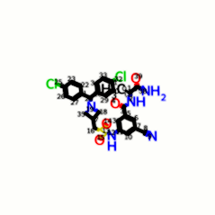 C[C@H](NC(=O)c1cc(C#N)cc(NS(=O)(=O)CC2CN(C(c3ccc(Cl)cc3)c3ccc(Cl)cc3)C2)c1)C(N)=O